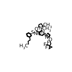 CCCCc1cccc(SNC(=O)c2ccc(-n3ccc(OCCC4(C(F)(F)F)CC4)n3)nc2N2CCCC2(C)C)c1